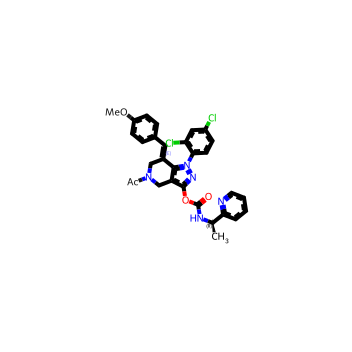 COc1ccc(/C=C2\CN(C(C)=O)Cc3c(OC(=O)N[C@H](C)c4ccccn4)nn(-c4ccc(Cl)cc4Cl)c32)cc1